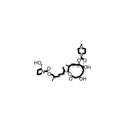 C/C(=C\C=C\[C@@H](C)COC(=O)N1CCC[C@@H]1CO)[C@H]1OC(=O)C[C@@H](O)CC[C@](C)(O)[C@H](OC(=O)N2CCN(C)CC2)/C=C/[C@@H]1C